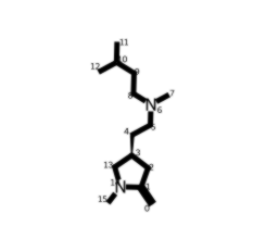 C=C1C[C@H](CCN(C)CCC(C)C)CN1C